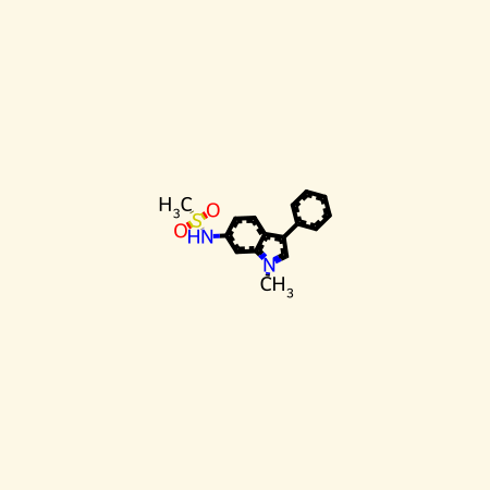 Cn1cc(-c2ccccc2)c2ccc(NS(C)(=O)=O)cc21